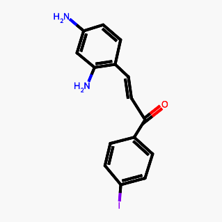 Nc1ccc(/C=C/C(=O)c2ccc(I)cc2)c(N)c1